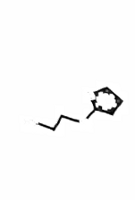 SCCSc1cccs1